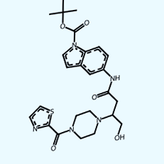 CC(C)(C)OC(=O)n1ccc2cc(NC(=O)CC(CO)N3CCN(C(=O)c4nccs4)CC3)ccc21